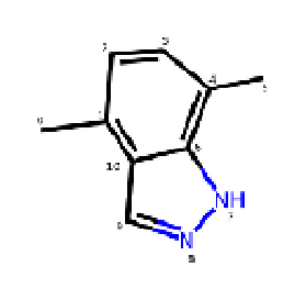 Cc1ccc(C)c2[nH]ncc12